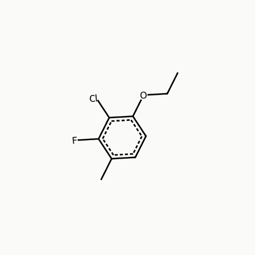 CCOc1ccc(C)c(F)c1Cl